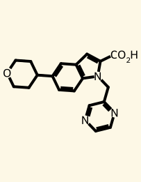 O=C(O)c1cc2cc(C3CCOCC3)ccc2n1Cc1cnccn1